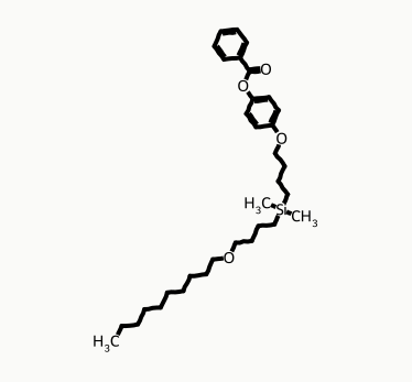 CCCCCCCCCCOCCCC[Si](C)(C)CCCCOc1ccc(OC(=O)c2ccccc2)cc1